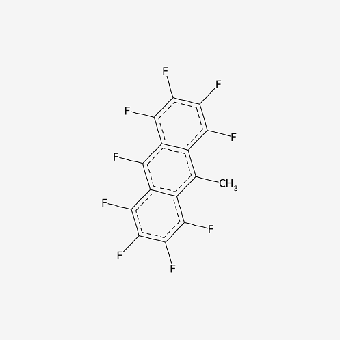 Cc1c2c(F)c(F)c(F)c(F)c2c(F)c2c(F)c(F)c(F)c(F)c12